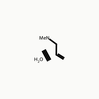 C#C.C=CCNC.O